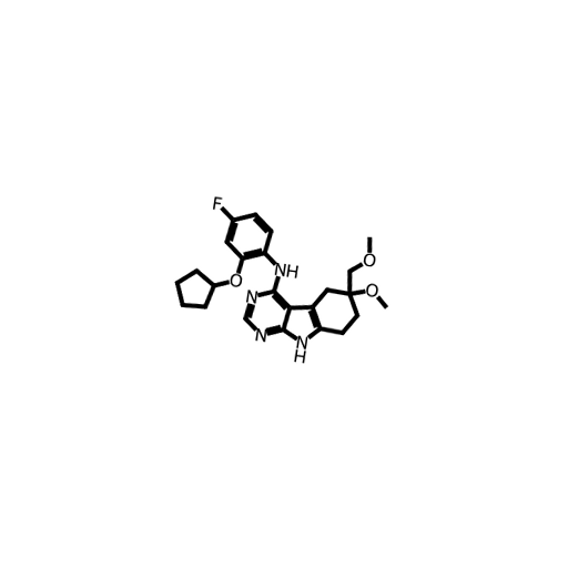 COCC1(OC)CCc2[nH]c3ncnc(Nc4ccc(F)cc4OC4CCCC4)c3c2C1